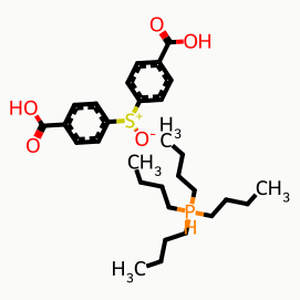 CCCC[PH](CCCC)(CCCC)CCCC.O=C(O)c1ccc([S+]([O-])c2ccc(C(=O)O)cc2)cc1